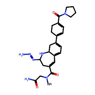 CCCN(CC(N)=O)C(=O)C1=CC2=CC=C(C3=CC=C(C(=O)N4CCCC4)CC3)CC2NC(N=NN)C1